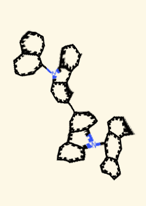 c1ccc2c(-n3c4ccccc4c4cc(-c5ccc6c(c5)c5ccccc5n6-c5c6ccccc6cc6ccccc56)ccc43)cccc2c1